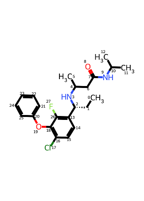 CC[C@@H](NC(C)CC(=O)NC(C)C)c1ccc(Cl)c(Oc2ccccc2)c1F